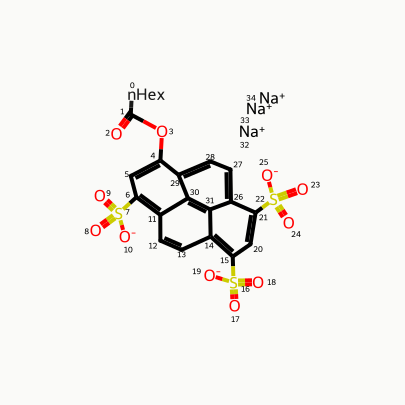 CCCCCCC(=O)Oc1cc(S(=O)(=O)[O-])c2ccc3c(S(=O)(=O)[O-])cc(S(=O)(=O)[O-])c4ccc1c2c43.[Na+].[Na+].[Na+]